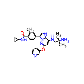 Cc1cc(-c2cnc3c(NCC(C)(C)N)cc(Oc4cccnc4)nn23)ccc1C(=O)NC1CC1